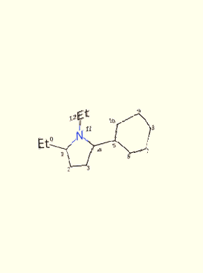 CCC1CCC(C2CCCCC2)N1CC